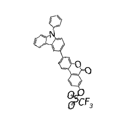 O=c1oc2cc(-c3ccc4c(c3)c3ccccc3n4-c3ccccc3)ccc2c2ccc(OS(=O)(=O)C(F)(F)F)cc12